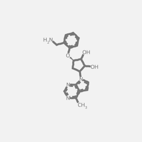 Cc1ncnc2c1ccn2C1C[C@@H](Oc2ccccc2CN)C(O)C1O